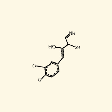 N=CC(S)/C(O)=C/c1ccc(Cl)c(Cl)c1